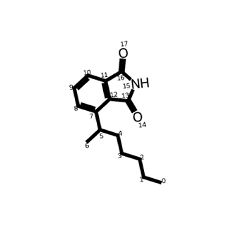 CCCCCC(C)c1cccc2c1C(=O)NC2=O